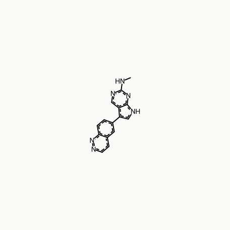 CNc1ncc2c(-c3ccc4nnccc4c3)c[nH]c2n1